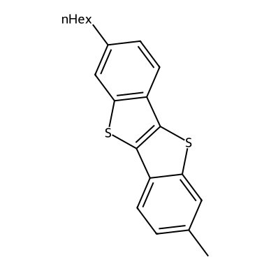 CCCCCCc1ccc2c(c1)sc1c3ccc(C)cc3sc21